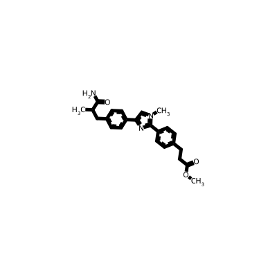 COC(=O)CCc1ccc(-c2nc(-c3ccc(CC(C)C(N)=O)cc3)cn2C)cc1